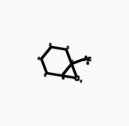 CC(=O)C12CCCCC1O2